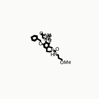 COCCCNC(=O)N1CCc2cc(OCc3ccccc3)c(N3CC(=O)NS3(=O)=O)c(F)c2C1